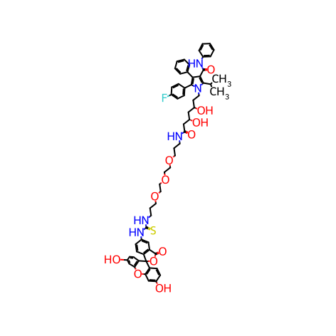 CC(C)c1c(C(=O)Nc2ccccc2)c(-c2ccccc2)c(-c2ccc(F)cc2)n1CCC(O)C[C@@H](O)CC(=O)NCCCOCCOCCOCCCNC(=S)Nc1ccc2c(c1)C(=O)OC21c2ccc(O)cc2Oc2cc(O)ccc21